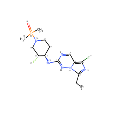 CC(C)Cc1nc(Cl)c2cnc(N[C@@H]3CCN(P(C)(C)=O)C[C@H]3F)nn12